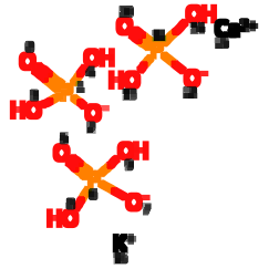 O=P([O-])(O)O.O=P([O-])(O)O.O=P([O-])(O)O.[Ca+2].[K+]